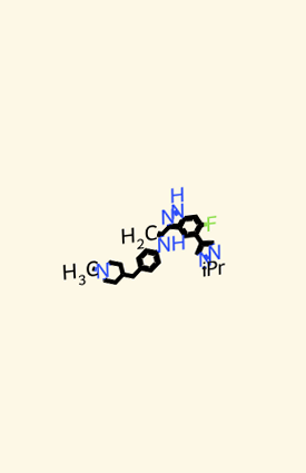 C=C(Nc1ccc(CC2CCN(C)CC2)cc1)c1n[nH]c2cc(F)c(-c3cnn(C(C)C)c3)cc12